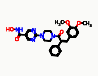 COc1ccc(C=C(C(=O)N2CCN(c3ncc(C(=O)NO)cn3)CC2)c2ccccc2)cc1OC